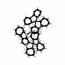 c1ccc2c(c1)-c1ccccc1C21c2ccccc2-c2ccc(-n3c4ccccc4c4cn5c(c43)C3(c4ccccc4-c4ccccc43)c3ccccc3-5)cc21